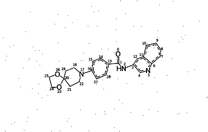 O=C(Nc1cnc2ccccc2c1)c1ccc(N2CCC3(CC2)OCCO3)cc1